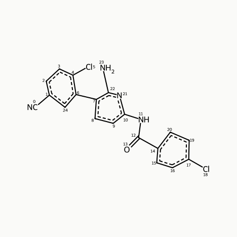 N#Cc1ccc(Cl)c(-c2ccc(NC(=O)c3ccc(Cl)cc3)nc2N)c1